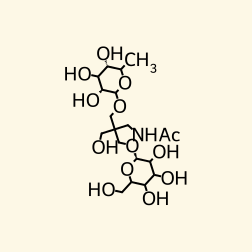 CC(=O)NCC(CO)(COC1OC(C)[C@@H](O)C(O)[C@@H]1O)CO[C@@H]1OC(CO)C(O)C(O)C1O